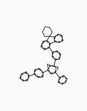 c1ccc(-c2ccc(-c3cc(-c4ccccc4)nc(-c4cccc(-c5cccc6c5-c5ccccc5C65CCCCC5)c4)n3)cc2)cc1